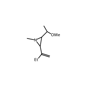 C=C(CC)C1C(C(C)OC)N1C